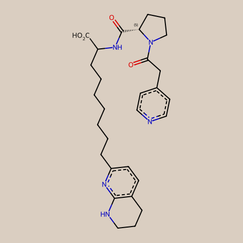 O=C(O)C(CCCCCCCc1ccc2c(n1)NCCC2)NC(=O)[C@@H]1CCCN1C(=O)Cc1ccncc1